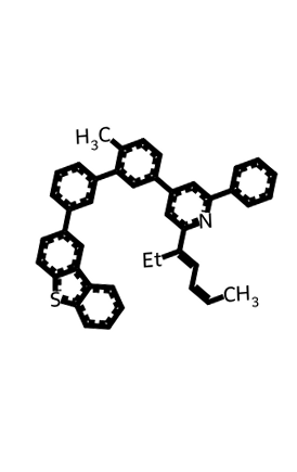 C/C=C\C=C(/CC)c1cc(-c2ccc(C)c(-c3cccc(-c4ccc5sc6ccccc6c5c4)c3)c2)cc(-c2ccccc2)n1